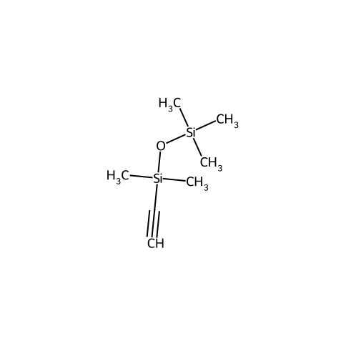 C#C[Si](C)(C)O[Si](C)(C)C